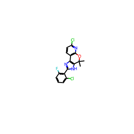 CC1(C)Oc2nc(Cl)ccc2-c2nc(-c3c(F)cccc3Cl)[nH]c21